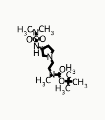 CN(CCN1CC[C@H](NS(=O)(=O)N(C)C)C1)C(=O)OC(C)(C)C